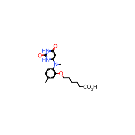 Cc1ccc(N(C)c2cc(=O)[nH]c(=O)[nH]2)c(OCCCCCC(=O)O)c1